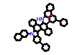 c1ccc(-c2cccc(-c3c(Nc4ccc5ccccc5c4)c4c5ccccc5c5c(c6cc(-c7ccccc7)ccc6n5-c5ccc6ccccc6c5)c4c4ccccc34)c2)cc1